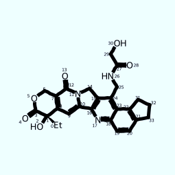 CC[C@@]1(O)C(=O)OCc2c1cc1n(c2=O)Cc2c-1nc1ccc3c(c1c2CNC(=O)CO)CCC3